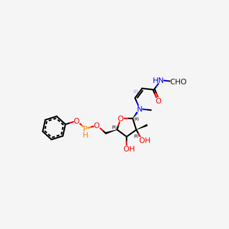 CN(/C=C\C(=O)NC=O)[C@@H]1O[C@H](COPOc2ccccc2)C(O)[C@@]1(C)O